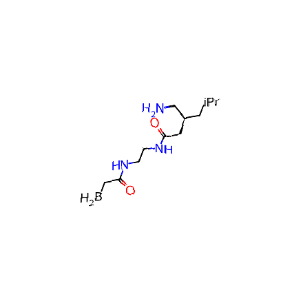 BCC(=O)NCCNC(=O)C[C@@H](CN)CC(C)C